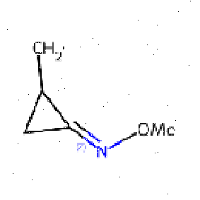 [CH2]C1C/C1=N/OC